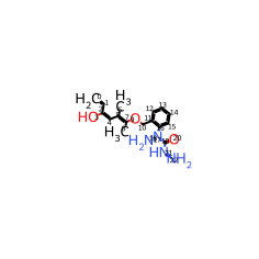 C=C/C(O)=C\C(C)=C(/C)OCc1ccccc1N(N)C(=O)NN